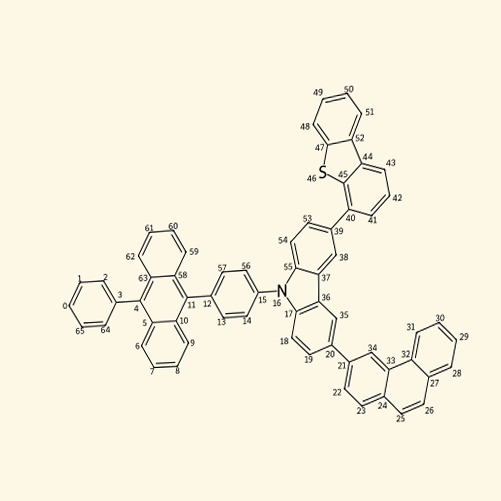 c1ccc(-c2c3ccccc3c(-c3ccc(-n4c5ccc(-c6ccc7ccc8ccccc8c7c6)cc5c5cc(-c6cccc7c6sc6ccccc67)ccc54)cc3)c3ccccc23)cc1